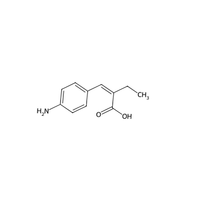 CCC(=Cc1ccc(N)cc1)C(=O)O